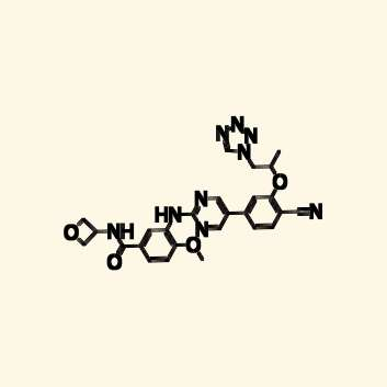 COc1ccc(C(=O)NC2COC2)cc1Nc1ncc(-c2ccc(C#N)c(OC(C)Cn3cnnn3)c2)cn1